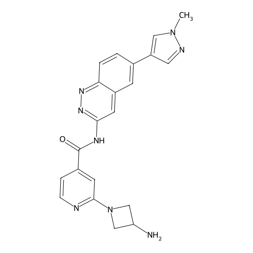 Cn1cc(-c2ccc3nnc(NC(=O)c4ccnc(N5CC(N)C5)c4)cc3c2)cn1